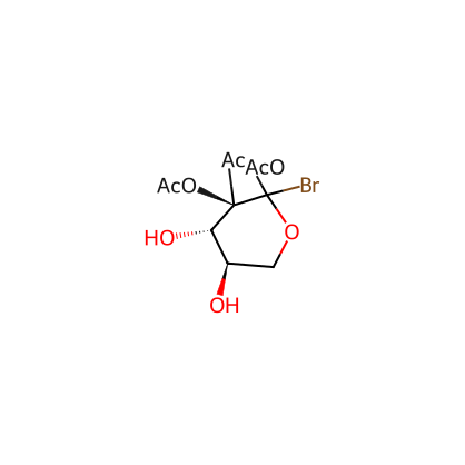 CC(=O)OC1(Br)OC[C@@H](O)[C@H](O)[C@]1(OC(C)=O)C(C)=O